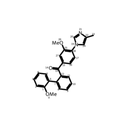 COc1ccccc1-c1ccccc1C(=O)c1ccc(-n2cnc(C)c2)c(OC)c1